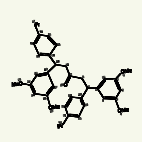 COc1cc(OC)cc(C(CC(=O)CC(c2ccc(C(C)C)cc2)c2cc(OC)cc(OC)c2)c2ccc(C(C)C)cc2)c1